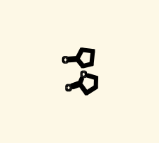 O=C1CCCC1.O=C1CCCO1